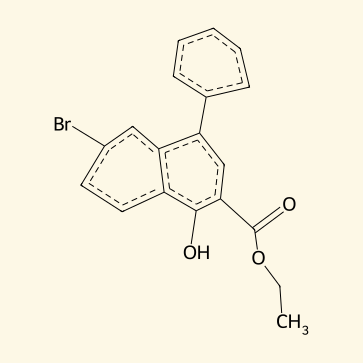 CCOC(=O)c1cc(-c2ccccc2)c2cc(Br)ccc2c1O